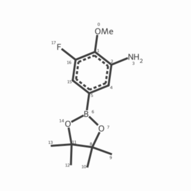 COc1c(N)cc(B2OC(C)(C)C(C)(C)O2)cc1F